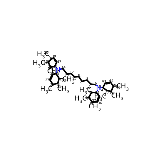 C[C@H]1[C@H](C)[C@@H](N(CCCCCCCCCN([C@H]2C=C[C@@H](C)[C@@H](C)[C@@H]2C)[C@H]2C=C[C@@H](C)[C@@H](C)[C@@H]2C)[C@H]2C=C[C@@H](C)[C@@H](C)[C@@H]2C)C=C[C@H]1C